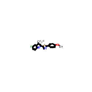 CCOc1ccc(-c2ncc(-c3cc(C(=O)O)c4cc(F)ccc4n3)s2)cc1